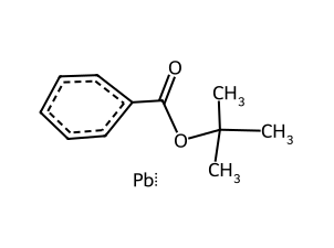 CC(C)(C)OC(=O)c1ccccc1.[Pb]